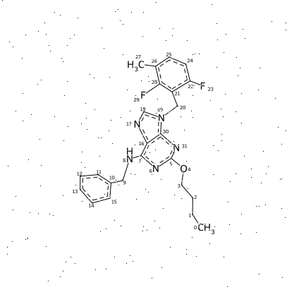 CCCCOc1nc(NCc2ccccc2)c2ncn(Cc3c(F)ccc(C)c3F)c2n1